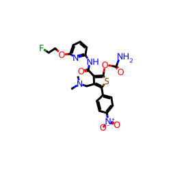 CN(C)Cc1c(-c2ccc([N+](=O)[O-])cc2)sc(OC(N)=O)c1C(=O)Nc1cccc(OCCF)n1